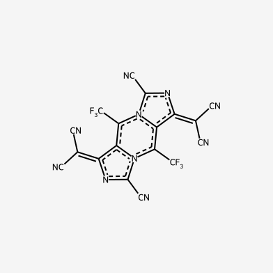 N#CC(C#N)=c1nc(C#N)n2c(C(F)(F)F)c3c(=C(C#N)C#N)nc(C#N)n3c(C(F)(F)F)c12